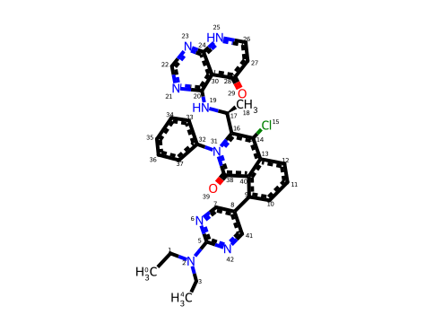 CCN(CC)c1ncc(-c2cccc3c(Cl)c([C@H](C)Nc4ncnc5[nH]ccc(=O)c45)n(-c4ccccc4)c(=O)c23)cn1